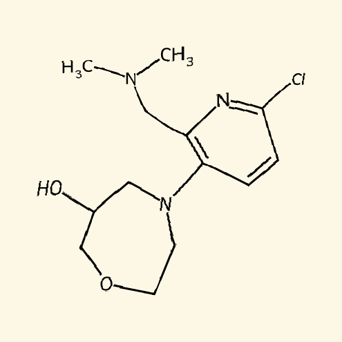 CN(C)Cc1nc(Cl)ccc1N1CCOCC(O)C1